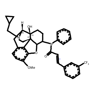 COc1ccc2c3c1OC1C(N(C(=O)/C=C/c4cccc(C(F)(F)F)c4)c4ccccc4)CC[C@@]4(O)[C@@H](C2)N(CC2CC2)CC[C@]314